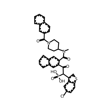 CN(C(=O)c1cc2ccccc2cc1C(=O)C(c1csc2ccc(Cl)cc12)P(=O)(O)O)C1CCN(C(=O)c2ccc3ccccc3c2)CC1